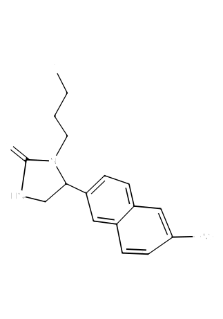 COc1ccc2cc(C3CNC(=S)N3CCCO)ccc2c1